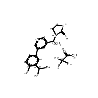 C[C@H](c1cncc(-c2ccc(F)c(C(F)F)c2)c1)N1CCOC1=O.O=C(O)C(F)(F)F